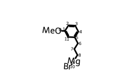 COc1cccc(CC[CH2][Mg][Br])c1